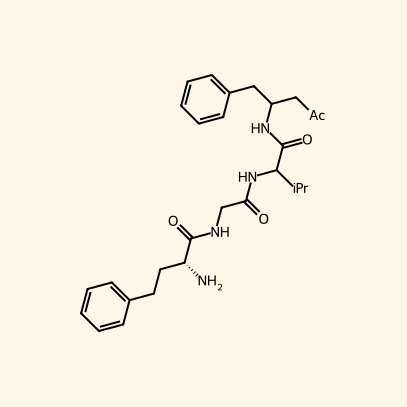 CC(=O)CC(Cc1ccccc1)NC(=O)C(NC(=O)CNC(=O)[C@H](N)CCc1ccccc1)C(C)C